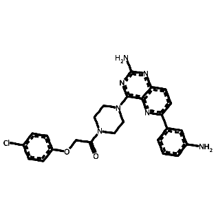 Nc1cccc(-c2ccc3nc(N)nc(N4CCN(C(=O)COc5ccc(Cl)cc5)CC4)c3n2)c1